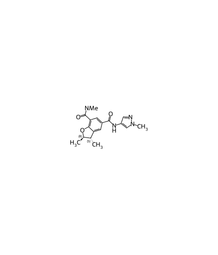 CNC(=O)c1cc(C(=O)Nc2cnn(C)c2)cc2c1O[C@H](C)[C@H]2C